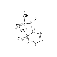 CC(C(=O)O)C1C=CC=CC1(Cl)Cl